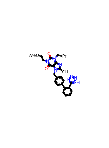 COCCn1c(=O)c2c(nc(C)n2Cc2ccc(-c3ccccc3-c3nnn[nH]3)cc2)n(CC(C)C)c1=O